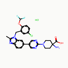 Cc1nc2ccc(-c3cnc(N4CCC(N)(C(=O)O)CC4)nc3)cc2n1Cc1cc(Cl)ccc1OC(F)F.Cl